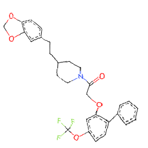 O=C(COc1cc(OC(F)(F)F)ccc1-c1ccccc1)N1CCC(CCc2ccc3c(c2)OCO3)CC1